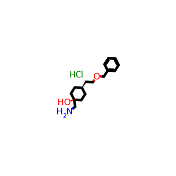 Cl.NC[C@]1(O)CC[C@@H](CCOCc2ccccc2)CC1